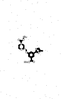 COC(=O)c1cc(OC[C@H]2CN(C(=O)OC(C)(C)C)CCO2)cc(-c2ncc(C)s2)c1